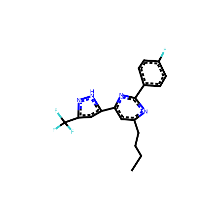 CCCCc1cc(-c2cc(C(F)(F)F)n[nH]2)nc(-c2ccc(F)cc2)n1